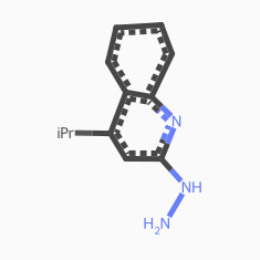 CC(C)c1cc(NN)nc2ccccc12